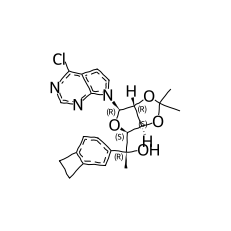 CC1(C)O[C@@H]2[C@@H](O1)[C@@H]([C@](C)(O)c1ccc3c(c1)CC3)O[C@H]2n1ccc2c(Cl)ncnc21